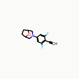 C#Cc1c(F)cc(N2CC3CCC(C2)O3)cc1F